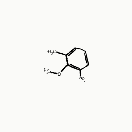 [CH2]c1cccc([N+](=O)[O-])c1OC(F)(F)F